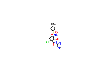 CC(C)(C)c1ccc(S(=O)(=O)Nc2ccc(Cl)c3c2C(=O)N(c2cnccn2)C3=O)cc1